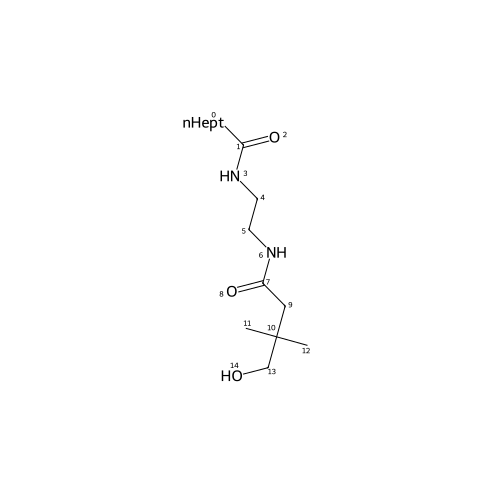 CCCCCCCC(=O)NCCNC(=O)CC(C)(C)CO